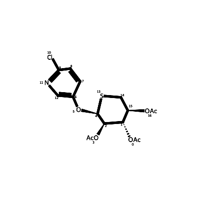 CC(=O)O[C@@H]1[C@@H](OC(C)=O)[C@@H](Oc2ccc(Cl)nc2)SC[C@H]1OC(C)=O